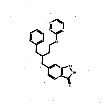 O=c1[nH][nH]c2cc(CC(CCNc3nccnn3)Cc3ccccc3)ccc12